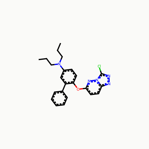 CCCN(CCC)c1ccc(Oc2ccc3nnc(Cl)n3n2)c(-c2ccccc2)c1